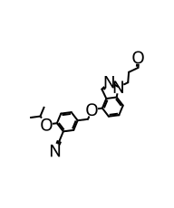 CC(C)Oc1ccc(COc2cccc3c2cnn3CCC=O)cc1C#N